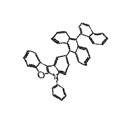 c1ccc(-n2c3ccc(-c4c5ccccc5c(-c5cccc6ccccc56)c5ccccc45)cc3c3c4ccccc4oc32)cc1